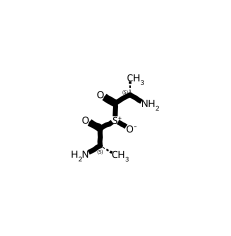 C[C@H](N)C(=O)[S+]([O-])C(=O)[C@H](C)N